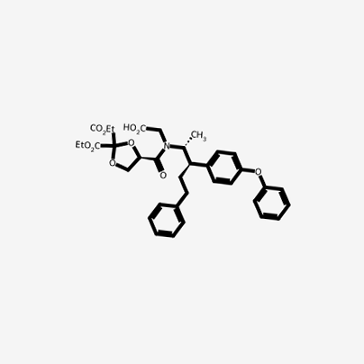 CCOC(=O)C1(C(=O)OCC)OC[C@H](C(=O)N(CC(=O)O)[C@H](C)[C@H](CCc2ccccc2)c2ccc(Oc3ccccc3)cc2)O1